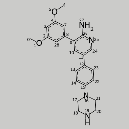 COc1cc(OC)cc(-c2cc(-c3ccc(N4CCNCC4)cc3)cnc2N)c1